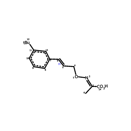 CC(=NOC/C=C/c1cccc(C(C)(C)C)c1)C(=O)O